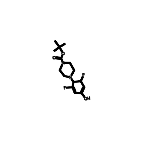 CC(C)(C)OC(=O)N1CCN(C2C(F)=CC(O)=CC2F)CC1